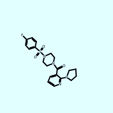 O=C(c1cccnc1N1CCCC1)N1CCN(S(=O)(=O)c2ccc(F)cc2)CC1